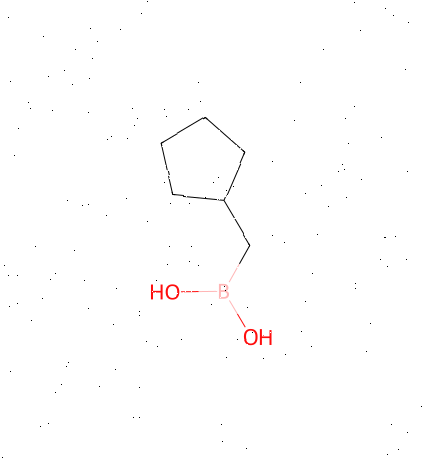 OB(O)CC1CCCC1